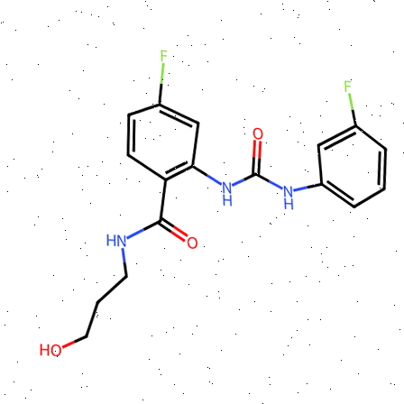 O=C(Nc1cccc(F)c1)Nc1cc(F)ccc1C(=O)NCCCO